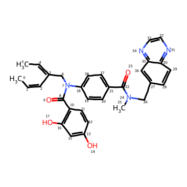 C/C=C\C(=C/C)CN(C(=O)c1ccc(O)cc1O)c1ccc(C(=O)N(C)Cc2ccc3nccnc3c2)cc1